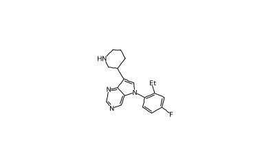 CCc1cc(F)ccc1-n1cc(C2CCCNC2)c2ncncc21